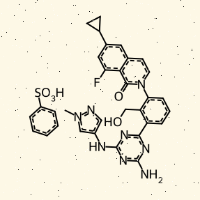 Cn1cc(Nc2nc(N)nc(-c3cccc(-n4ccc5cc(C6CC6)cc(F)c5c4=O)c3CO)n2)cn1.O=S(=O)(O)c1ccccc1